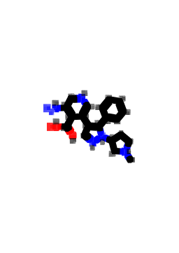 CN1CCC(n2ncc(-c3cncc(N)c3C(=O)O)c2-c2ccccc2)C1